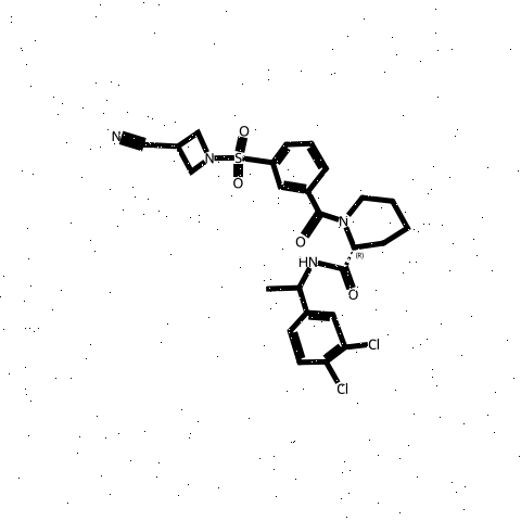 CC(NC(=O)[C@H]1CCCCN1C(=O)c1cccc(S(=O)(=O)N2CC(C#N)C2)c1)c1ccc(Cl)c(Cl)c1